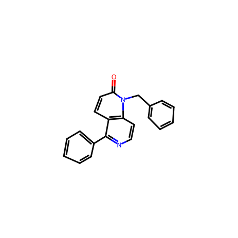 O=c1ccc2c(-c3ccccc3)nccc2n1Cc1ccccc1